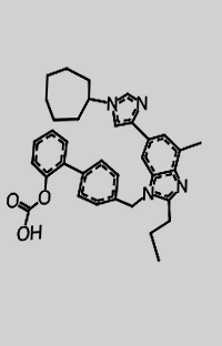 CCCc1nc2c(C)cc(-c3cn(C4CCCCCC4)cn3)cc2n1Cc1ccc(-c2ccccc2OC(=O)O)cc1